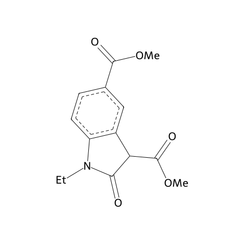 CCN1C(=O)C(C(=O)OC)c2cc(C(=O)OC)ccc21